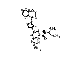 CCC(C)NC(=O)c1cc(-c2cnn(C3CCOc4ccccc43)c2)cc2nc(N)nn12